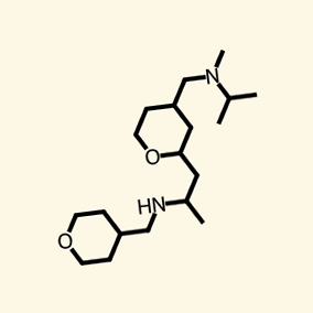 CC(CC1CC(CN(C)C(C)C)CCO1)NCC1CCOCC1